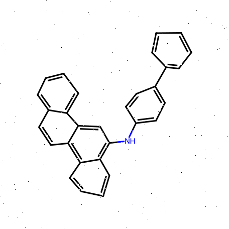 c1ccc(-c2ccc(Nc3cc4c5ccccc5ccc4c4ccccc34)cc2)cc1